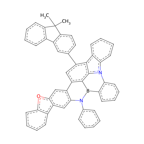 CC1(C)c2ccccc2-c2cc(-c3cc4c5c6c3c3ccccc3n6-c3ccccc3B5N(c3ccccc3)c3cc5c(cc3-4)oc3ccccc35)ccc21